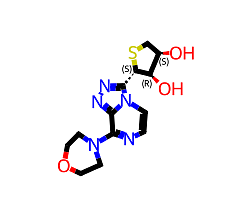 O[C@@H]1[C@H](O)CS[C@H]1c1nnc2c(N3CCOCC3)nccn12